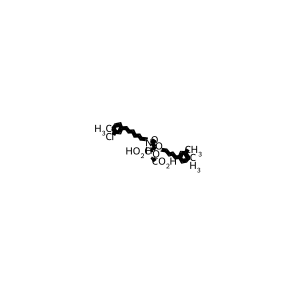 Cc1ccc(CCCCCOC(C(=O)NCCCCCCCc2ccc(C)c(Cl)c2)C(OCC(=O)O)C(=O)O)cc1C